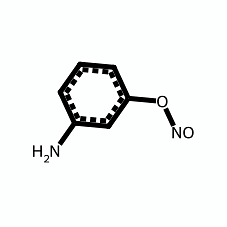 Nc1cccc(ON=O)c1